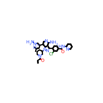 C=CC(=O)N1CCC[C@@H](n2nc(-c3ccc(C(=O)Nc4ccccn4)cc3Cl)c3c(N)ncc(/C(C=C(C)C)=C/NN)c32)C1